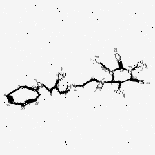 Cc1c(NCCNCC(O)COc2ccccc2)n(C)c(=O)n(C)c1=S